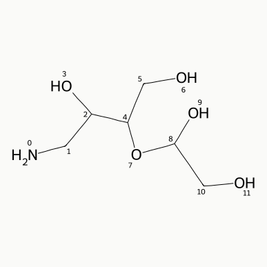 NCC(O)C(CO)OC(O)CO